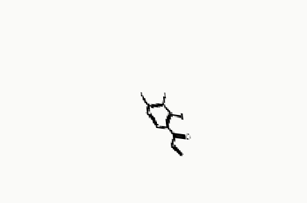 C=CC(=O)c1ccc(I)c(I)c1I